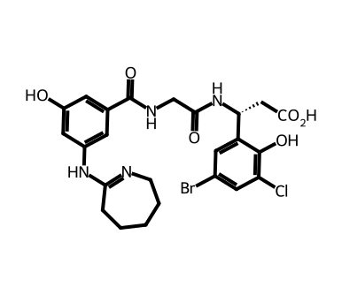 O=C(O)C[C@@H](NC(=O)CNC(=O)c1cc(O)cc(NC2=NCCCCC2)c1)c1cc(Br)cc(Cl)c1O